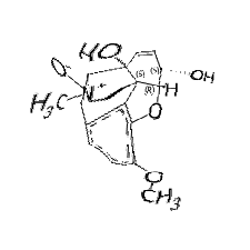 COc1ccc2c3c1O[C@H]1[C@@H](O)C=CC4(O)C(C2)[N+](C)([O-])CC[C@]314